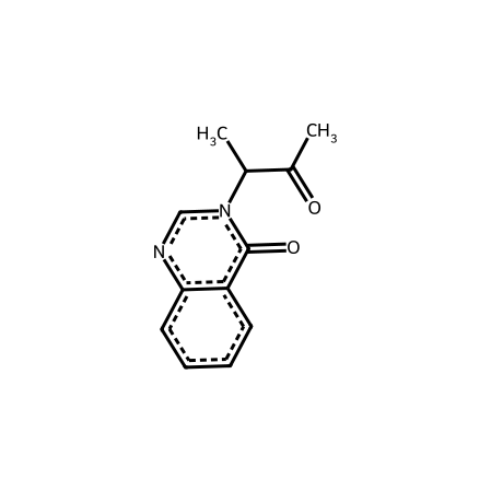 CC(=O)C(C)n1cnc2ccccc2c1=O